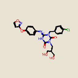 O=c1[nH]/c(=N\c2ccc(Oc3ccon3)cc2)n(Cc2ccc(Cl)cc2)c(=O)n1CC(CO)CO